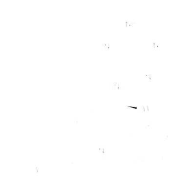 C[C@H](Nc1ncnc2[nH]cnc12)c1cc2ccc(F)cc2nc1-c1cccs1